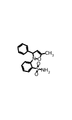 CC1=CC(c2ccccc2)N(c2ccccc2S(N)(=O)=O)O1